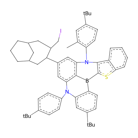 Cc1cc(C(C)(C)C)ccc1N1c2cc(C3CC4CCCC(C4)CC3CI)cc3c2B(c2ccc(C(C)(C)C)cc2N3c2ccc(C(C)(C)C)cc2)c2sc3ccccc3c21